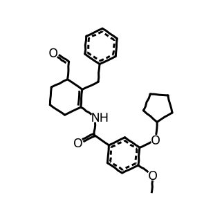 COc1ccc(C(=O)NC2=C(Cc3ccccc3)C(C=O)CCC2)cc1OC1CCCC1